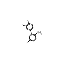 Cc1ccc(-c2cc(F)ccc2N)cc1F